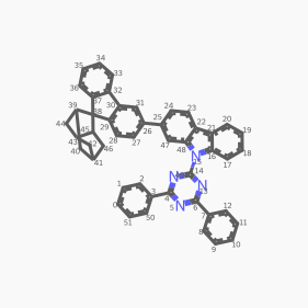 c1ccc(-c2nc(-c3ccccc3)nc(-n3c4ccccc4c4ccc(-c5ccc6c(c5)-c5ccccc5C65C6CC7CC(C6)C5C7)cc43)n2)cc1